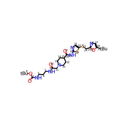 CC(C)(C)OC(=O)NCCCNC(=O)CN1CCC(C(=O)Nc2ncc(SCc3ncc(C(C)(C)C)o3)s2)CC1